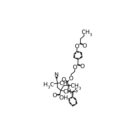 CCCC(=O)Oc1ccc(C(=O)OCCOC(=O)C(C)(CC(C)(CC(C)(C)C#N)C(=O)O)SC(=S)c2ccccc2)cc1